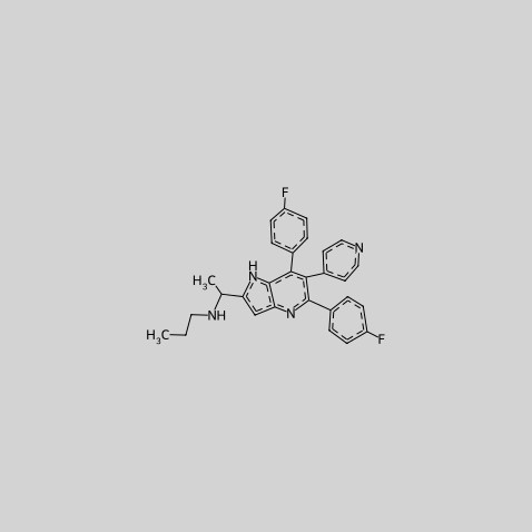 CCCNC(C)c1cc2nc(-c3ccc(F)cc3)c(-c3ccncc3)c(-c3ccc(F)cc3)c2[nH]1